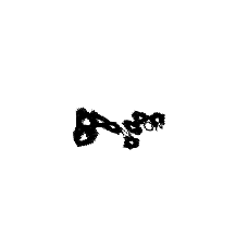 c1ccc(N(c2ccc(-c3cccc4c3oc3ncccc34)cc2)c2ccc3c(ccc4ccc5ccccc5c43)c2)cc1